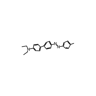 CCN(CC)c1ccc(-c2ccc(N=Nc3ccc(C)cc3)cc2)cc1